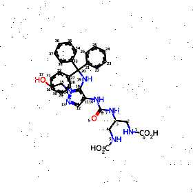 O=C(O)NCC(CNC(=O)O)NC(=O)Nc1cnn(CCO)c1NC(c1ccccc1)(c1ccccc1)c1ccccc1